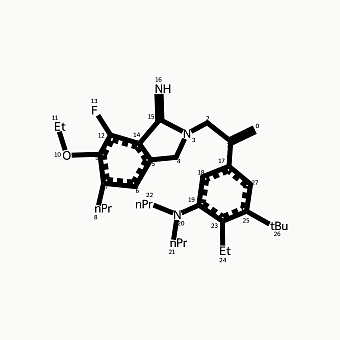 C=C(CN1Cc2cc(CCC)c(OCC)c(F)c2C1=N)c1cc(N(CCC)CCC)c(CC)c(C(C)(C)C)c1